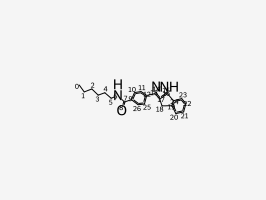 CCCCCCNC(=O)c1ccc(-c2n[nH]c3c2Cc2ccccc2-3)cc1